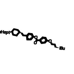 CCCCCCC[C@H]1CC[C@H](CCc2ccc(OC(=O)c3ccc(OCCC[C@@H](C)CC)cc3)cc2)CC1